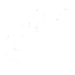 CC(C)(Nc1cccc(C2Nc3ccc(N)cc3CC2(C)C)c1)C(=O)O